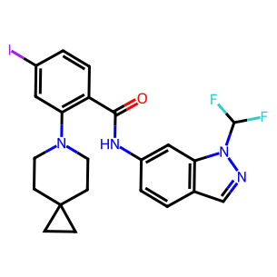 O=C(Nc1ccc2cnn(C(F)F)c2c1)c1ccc(I)cc1N1CCC2(CC1)CC2